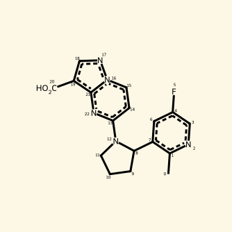 Cc1ncc(F)cc1C1CCCN1c1ccn2ncc(C(=O)O)c2n1